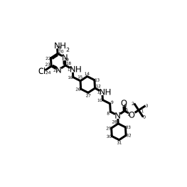 CC(C)(C)OC(=O)N(CCCNC1CCC(CNc2nc(N)cc(Cl)n2)CC1)C1CCCCC1